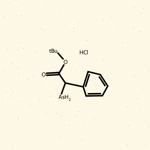 CC(C)(C)OC(=O)C([AsH2])c1ccccc1.Cl